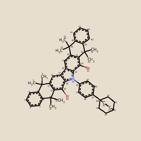 CC1(C)c2ccccc2C(C)(C)c2c1cc1c3cc4c(c(Br)c3n(-c3ccc(C56CCC(CC5)CC6)cc3)c1c2Br)C(C)(C)c1ccccc1C4(C)C